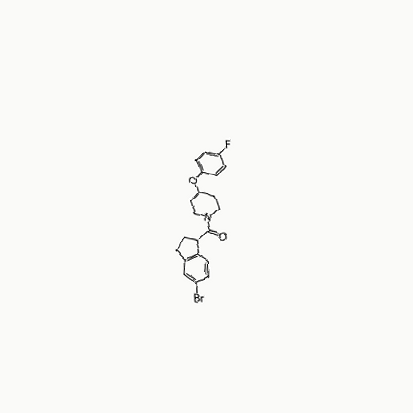 O=C(C1CCc2cc(Br)ccc21)N1CCC(Oc2ccc(F)cc2)CC1